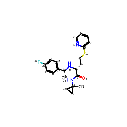 N#CC1(NC(=O)[C@@H](CCSc2ccccn2)N[C@@H](c2ccc(F)cc2)C(F)(F)F)CC1